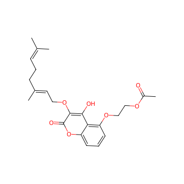 CC(=O)OCCOc1cccc2oc(=O)c(OC/C=C(\C)CCC=C(C)C)c(O)c12